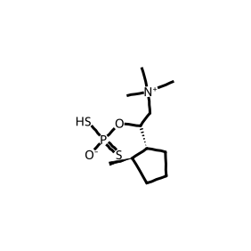 C[C@@H]1CCC[C@H]1C(C[N+](C)(C)C)OP([O-])(=S)S